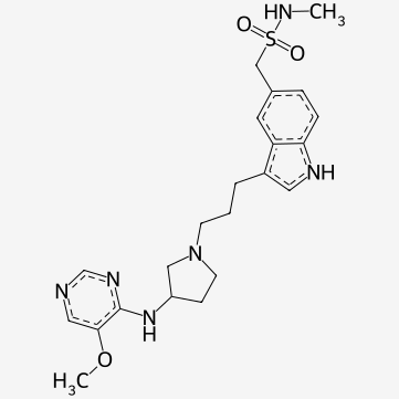 CNS(=O)(=O)Cc1ccc2[nH]cc(CCCN3CCC(Nc4ncncc4OC)C3)c2c1